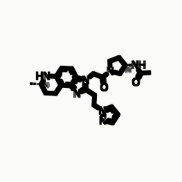 CC(=O)N[C@H]1CCN(C(=O)Cn2c(CCn3cccn3)nc3c4c(ccc32)N[C@@H](C)CC4)C1